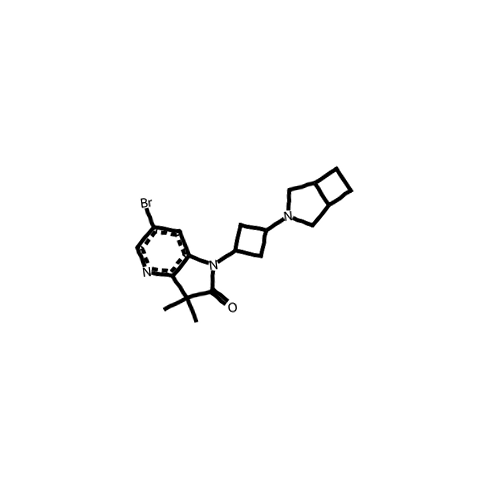 CC1(C)C(=O)N(C2CC(N3CC4CCC4C3)C2)c2cc(Br)cnc21